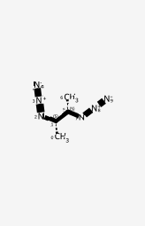 C[C@H](N=[N+]=[N-])[C@H](C)N=[N+]=[N-]